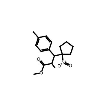 COC(=O)C(C)C(c1ccc(C)cc1)C1([N+](=O)[O-])CCCC1